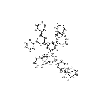 c1ccc(-c2cc(-c3ccccc3)cc(-c3cc(-c4cc(-c5ccc(C67CC8CC(CC(C8)C6)C7)cc5)cc5c4oc4ccccc45)cc(-c4cccc5c4oc4ccccc45)n3)c2)cc1